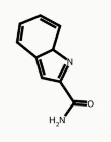 NC(=O)C1=NC2C=CC=CC2=C1